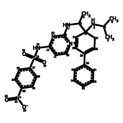 CC(C)NC1(C(C)Nc2nccc(NS(=O)(=O)c3ccc([N+](=O)[O-])cc3)n2)C=CC(c2ccccc2)=CC1